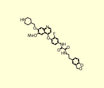 COc1cc2c(Oc3ccc(NC(=O)C(=O)NCCc4ccc5c(c4)COO5)cc3F)ccnc2cc1OCC1CCNCC1